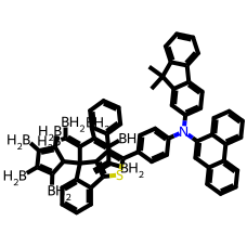 BC(=C)/C(B)=C(/B)C(=C(B)B)C1(C2C(B)=C(B)C(B)=C2B)c2ccccc2-c2sc(-c3ccc(N(c4ccc5c(c4)C(C)(C)c4ccccc4-5)c4cc5ccccc5c5ccccc45)cc3)c(-c3ccccc3)c21